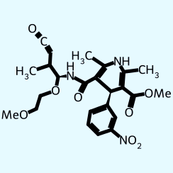 COCCO[C@H](NC(=O)C1=C(C)NC(C)=C(C(=O)OC)[C@H]1c1cccc([N+](=O)[O-])c1)C(C)C=C=O